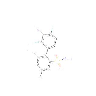 NS(=O)(=O)c1cc(C(F)(F)F)cc(C(F)(F)F)c1-c1ccc(F)c(I)c1F